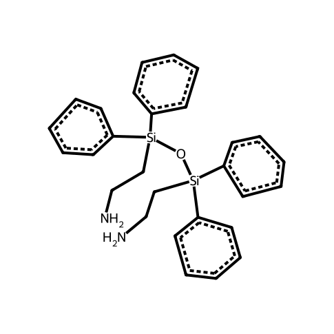 NCC[Si](O[Si](CCN)(c1ccccc1)c1ccccc1)(c1ccccc1)c1ccccc1